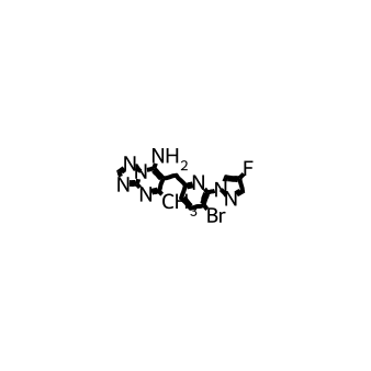 Cc1nc2ncnn2c(N)c1Cc1ccc(Br)c(-n2cc(F)cn2)n1